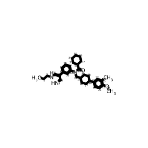 CCCN/C=C(\C=N)c1cccc(N(CC2CCC(c3ccc(OC)c(C)c3)CC2)C(=O)C2CCCCC2)c1